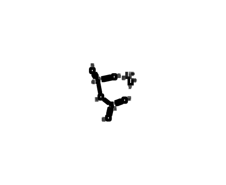 O=[S-](=O)O[S-](=O)=O.[Li+].[Li+]